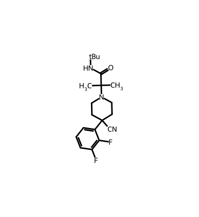 CC(C)(C)NC(=O)C(C)(C)N1CCC(C#N)(c2cccc(F)c2F)CC1